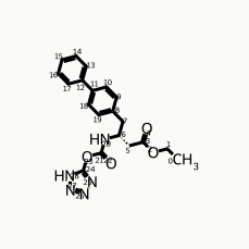 CCOC(=O)C[C@@H](Cc1ccc(-c2ccccc2)cc1)NC(=O)Oc1nnn[nH]1